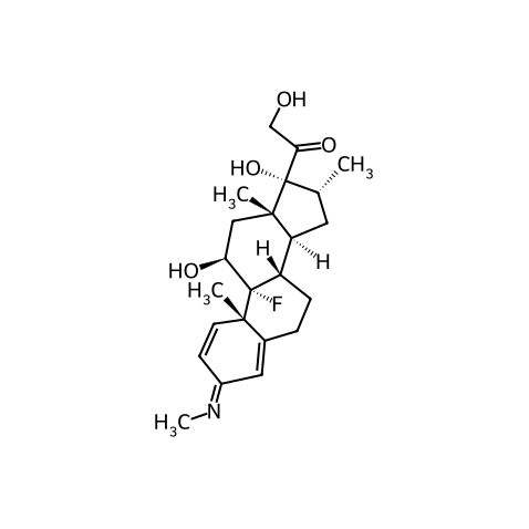 C/N=C1\C=C[C@@]2(C)C(=C1)CC[C@H]1[C@@H]3C[C@@H](C)[C@](O)(C(=O)CO)[C@@]3(C)C[C@H](O)[C@@]12F